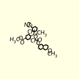 COC(=O)c1cc(C)c(C(OCC(=O)Cc2ccc3cc(OC)ccc3c2)c2cc(-n3ccnc3)ccc2C)c(C)c1